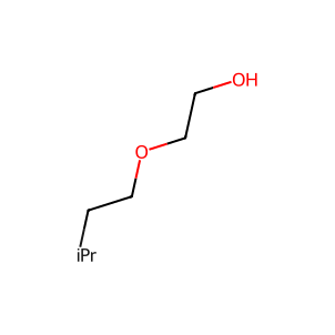 CC(C)CCOCCO